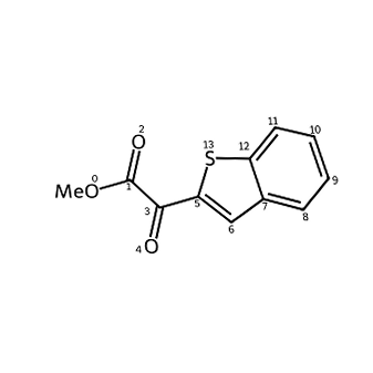 COC(=O)C(=O)c1cc2ccccc2s1